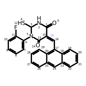 O=C1NC(S)N(c2ccccc2F)C(=O)/C1=C\c1c2ccccc2cc2ccccc12